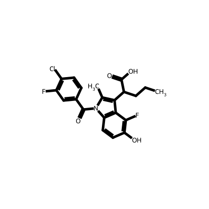 CCCC(C(=O)O)c1c(C)n(C(=O)c2ccc(Cl)c(F)c2)c2ccc(O)c(F)c12